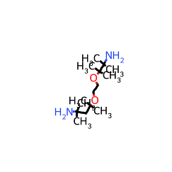 CC(C)(N)CC(C)(C)OCCOC(C)(C)C(C)(C)N